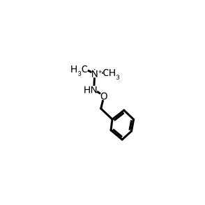 C[N+](C)NOCc1ccccc1